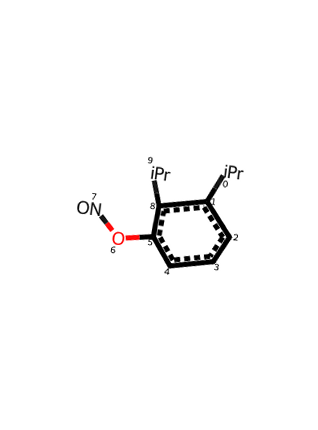 CC(C)c1cccc(ON=O)c1C(C)C